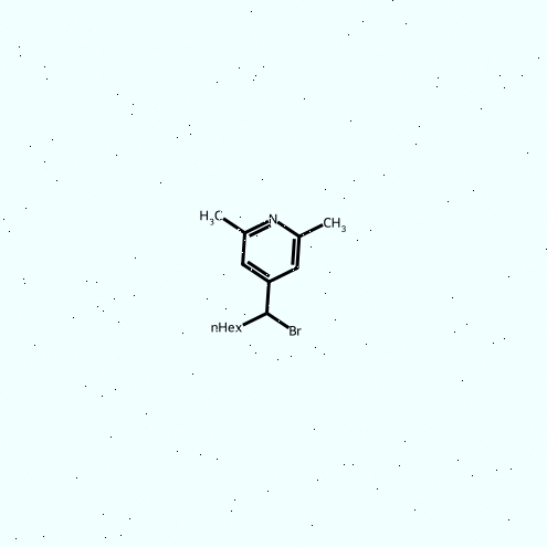 CCCCCCC(Br)c1cc(C)nc(C)c1